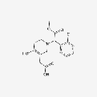 COC(=O)C(c1ccccc1Cl)N1CCC(O)=C(CC(=O)O)C1